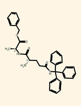 C[C@H](NC(=O)[C@@H](N)CCC(=O)NC(c1ccccc1)(c1ccccc1)c1ccccc1)C(=O)OCc1ccccc1